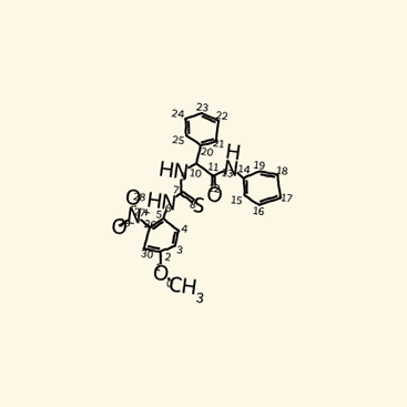 COc1ccc(NC(=S)NC(C(=O)Nc2ccccc2)c2ccccc2)c([N+](=O)[O-])c1